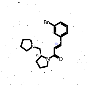 O=C(/C=C/c1cccc(Br)c1)N1CCC[C@H]1CN1CCCC1